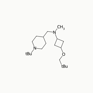 CN(CC1CCN(C(C)(C)C)CC1)C1CC(OCC(C)(C)C)C1